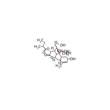 CCC(C)C(=O)O[C@H]1C(=O)O[C@@H]2C[C@H]3C(C)=C[C@H](O)[C@@H](O)[C@]3(C)[C@H]3[C@@H](O)[C@@H](O)[C@@]4(C)OC[C@]32[C@@H]14